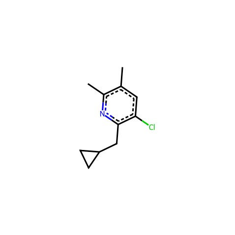 Cc1cc(Cl)c(CC2CC2)nc1C